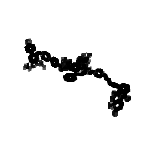 CC1(C)CCC(c2ccc(Cl)cc2)=C(CN2CCN(c3ccc(C(=O)NS(=O)(=O)c4ccc(N[C@H](CCN5CCN(CCCCC#Cc6cccc7c6C(=O)N(C6CCC(=O)NC6=O)C7=O)CC5)CSc5ccccc5)c(S(=O)(=O)C(F)(F)F)c4)cc3)CC2)C1